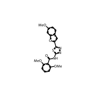 COc1ccc2cc(-c3nnc(NC(=O)c4c(OC)cccc4OC)s3)oc2c1